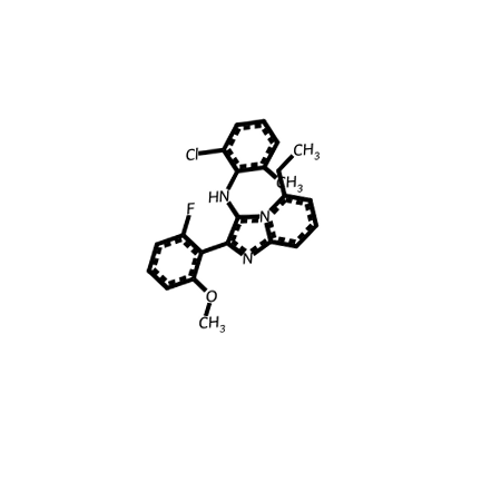 CCc1cccc2nc(-c3c(F)cccc3OC)c(Nc3c(C)cccc3Cl)n12